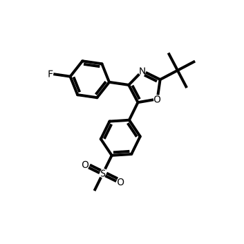 CC(C)(C)c1nc(-c2ccc(F)cc2)c(-c2ccc(S(C)(=O)=O)cc2)o1